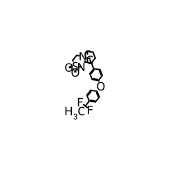 CC(F)(F)c1ccc(Oc2ccc(C34CCC(CC3)N3CCS(=O)(=O)N=C34)cc2)cc1